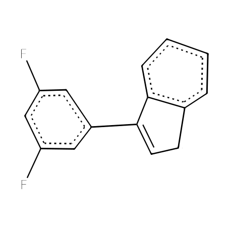 Fc1cc(F)cc(C2=C[CH]c3ccccc32)c1